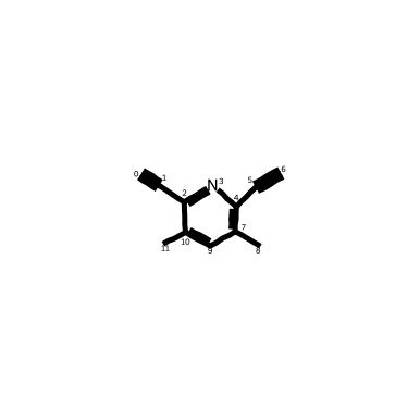 C#Cc1nc(C#C)c(C)cc1C